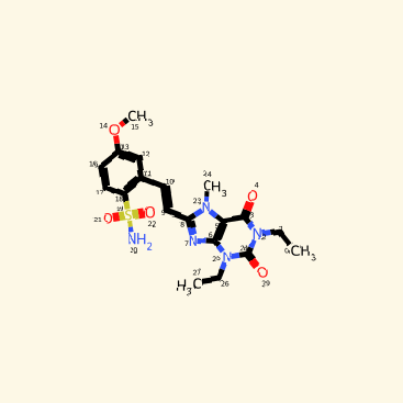 CCn1c(=O)c2c(nc(C=Cc3cc(OC)ccc3S(N)(=O)=O)n2C)n(CC)c1=O